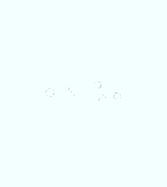 O=C(NCCCC[CH]C(=O)N(Cc1cccs1)Cc1cccs1)OCc1ccccc1